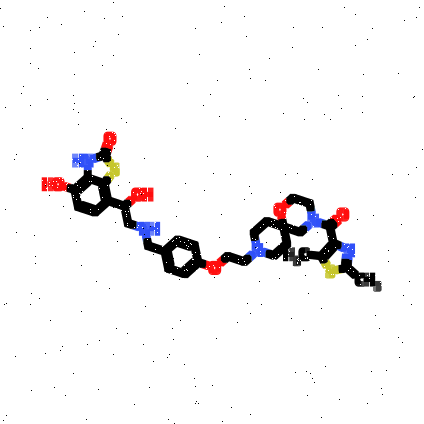 Cc1nc(C(=O)N2CCOC3(CCN(CCOc4ccc(CNCC(O)c5ccc(O)c6[nH]c(=O)sc56)cc4)CC3)C2)c(C)s1